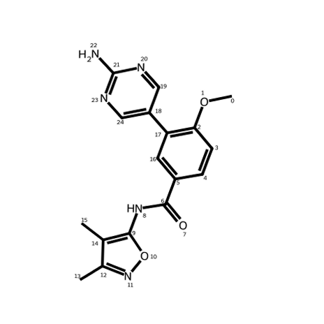 COc1ccc(C(=O)Nc2onc(C)c2C)cc1-c1cnc(N)nc1